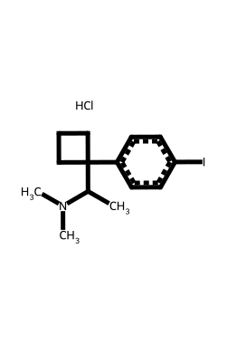 CC(N(C)C)C1(c2ccc(I)cc2)CCC1.Cl